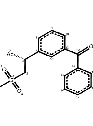 CC(=O)[C@@H](CS(C)(=O)=O)c1cccc(C(=O)c2ccccc2)c1